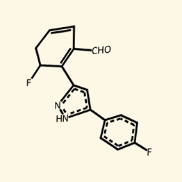 O=CC1=C(c2cc(-c3ccc(F)cc3)[nH]n2)C(F)CC=C1